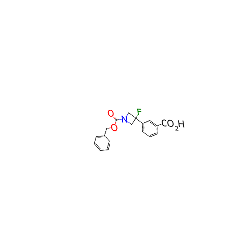 O=C(O)c1cccc(C2(F)CN(C(=O)OCc3ccccc3)C2)c1